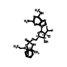 CCOC(=O)[C@H](C)NP(=O)(OC[C@H]1O[C@@H](n2cnc3c(NC)nc(N)nc32)[C@@](Cl)(C(F)F)[C@@H]1O)Oc1ccccc1